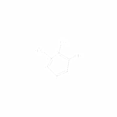 [CH]c1cccc(C)c1C